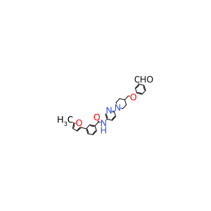 Cc1ccc(-c2cccc(C(=O)Nc3ccc(N4CCC(COc5cccc(C=O)c5)CC4)nc3)c2)o1